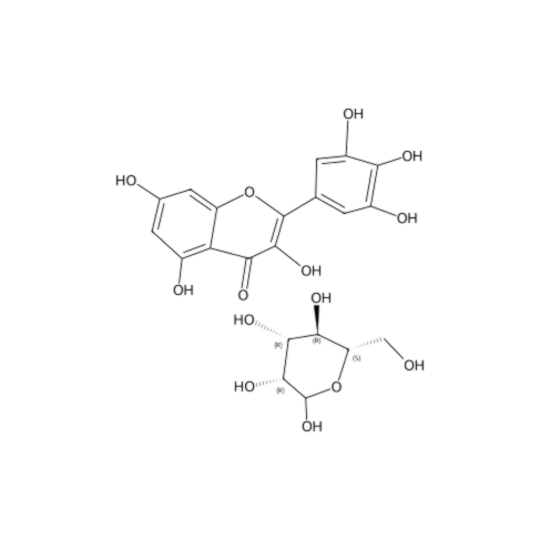 O=c1c(O)c(-c2cc(O)c(O)c(O)c2)oc2cc(O)cc(O)c12.OC[C@@H]1OC(O)[C@H](O)[C@H](O)[C@H]1O